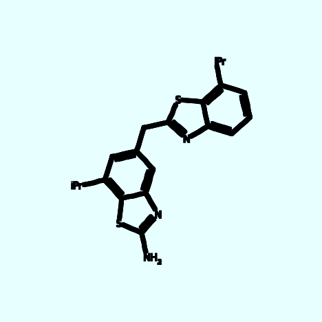 CC(C)c1cc(Cc2nc3cccc(C(C)C)c3s2)cc2nc(N)sc12